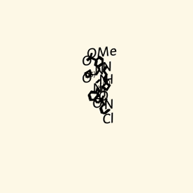 COC(=O)c1ccc2nc(CN3CCN(c4cccc5c4O[C@](C)(c4ccc(Cl)cn4)O5)[C@H]4CC[C@H]43)n(C[C@@H]3CCO3)c2c1